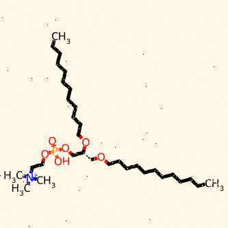 CCCCCCCCCCCCOC[C@H](COP(=O)(O)OCC[N+](C)(C)C)OCCCCCCCCCCCC